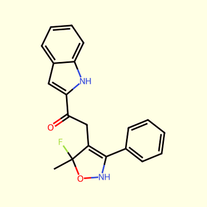 CC1(F)ONC(c2ccccc2)=C1CC(=O)c1cc2ccccc2[nH]1